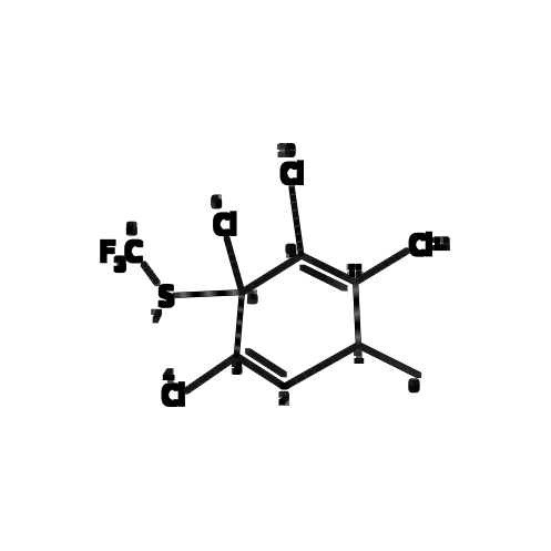 CC1C=C(Cl)C(Cl)(SC(F)(F)F)C(Cl)=C1Cl